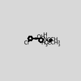 CC(C)(C)OC(=O)N[C@@H]1CCC[C@@](O)(C#Cc2cccc(Cl)c2)C1